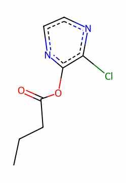 CCCC(=O)Oc1nccnc1Cl